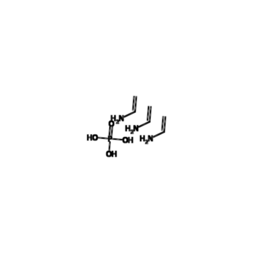 C=CN.C=CN.C=CN.O=P(O)(O)O